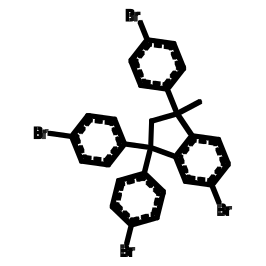 CC1(c2ccc(Br)cc2)CC(c2ccc(Br)cc2)(c2ccc(Br)cc2)c2cc(Br)ccc21